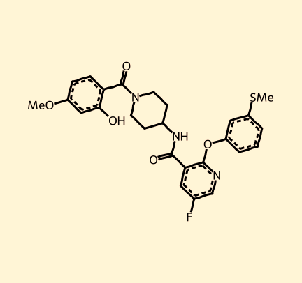 COc1ccc(C(=O)N2CCC(NC(=O)c3cc(F)cnc3Oc3cccc(SC)c3)CC2)c(O)c1